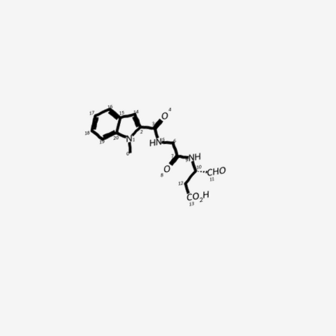 Cn1c(C(=O)NCC(=O)N[C@H](C=O)CC(=O)O)cc2ccccc21